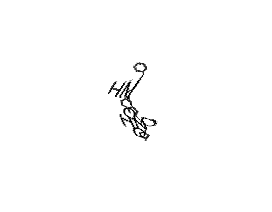 O=C(NCc1ccco1)c1cc2cc(NCc3ccccc3)ccc2o1